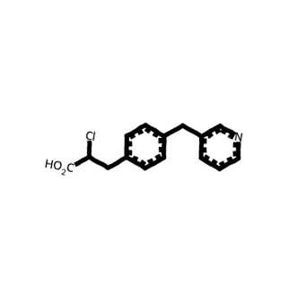 O=C(O)C(Cl)Cc1ccc(Cc2cccnc2)cc1